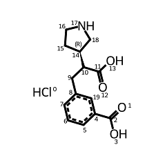 Cl.O=C(O)c1cccc(CC(C(=O)O)[C@H]2CCNC2)c1